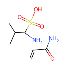 C=CC(N)=O.CC(C)C(N)S(=O)(=O)O